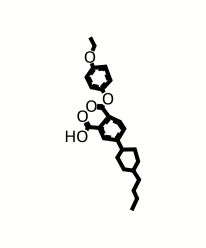 CCCCC1CCC(c2ccc(C(=O)Oc3ccc(OCC)cc3)c(C(=O)O)c2)CC1